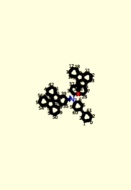 c1ccc(-c2ccc(N(c3ccc(C45c6ccccc6-c6cccc(c64)-c4ccccc45)cc3)c3ccc4c(c3)-c3ccccc3C43c4ccccc4-c4ccccc43)cc2)cc1